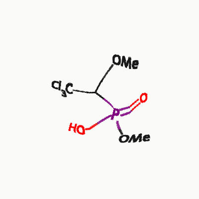 COC(C(Cl)(Cl)Cl)P(=O)(O)OC